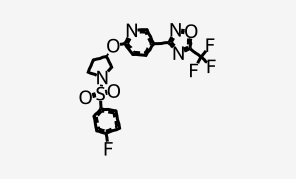 O=S(=O)(c1ccc(F)cc1)N1CC[C@H](Oc2ccc(-c3noc(C(F)(F)F)n3)cn2)C1